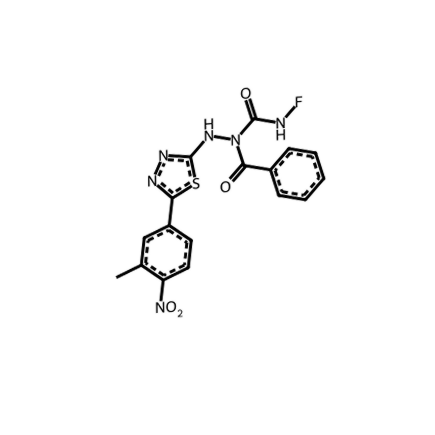 Cc1cc(-c2nnc(NN(C(=O)NF)C(=O)c3ccccc3)s2)ccc1[N+](=O)[O-]